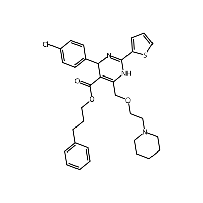 O=C(OCCCc1ccccc1)C1=C(COCCN2CCCCC2)NC(c2cccs2)=NC1c1ccc(Cl)cc1